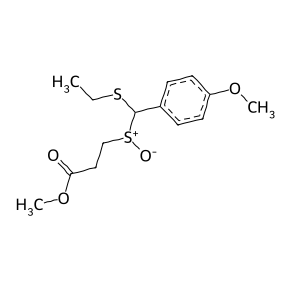 CCSC(c1ccc(OC)cc1)[S+]([O-])CCC(=O)OC